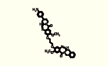 COc1cc2c(cc1OCCCOc1cc3c(cc1OC)C(=O)N1Cc4ccccc4C[C@H]1C=N3)N=C[C@@H]1CC(c3ccc(N)cc3)=CCN1C2=O